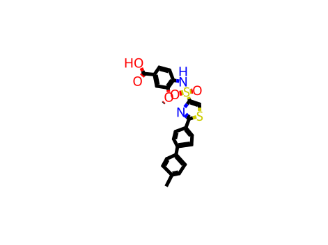 COc1cc(C(=O)O)ccc1NS(=O)(=O)c1csc(-c2ccc(-c3ccc(C)cc3)cc2)n1